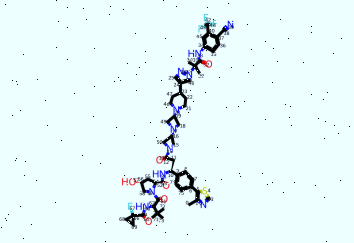 Cc1ncsc1-c1ccc([C@H](CC(=O)N2CC(N3CC(N4CCC(c5cnn(C(C)(C)C(=O)Nc6ccc(C#N)c(C(F)(F)F)c6)c5)CC4)C3)C2)NC(=O)[C@@H]2C[C@@H](O)CN2C(=O)C(NC(=O)C2(F)CC2)C(C)(C)C)cc1